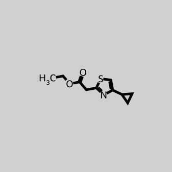 CCOC(=O)Cc1nc(C2CC2)cs1